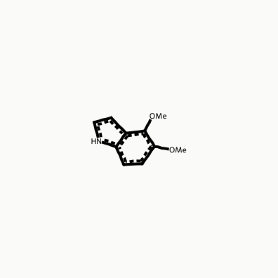 COc1ccc2[nH]c[c]c2c1OC